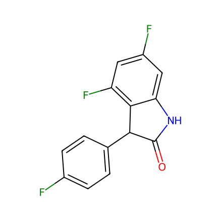 O=C1Nc2cc(F)cc(F)c2C1c1ccc(F)cc1